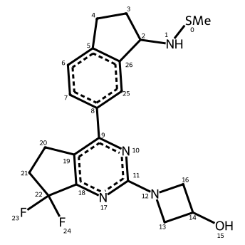 CSNC1CCc2ccc(-c3nc(N4CC(O)C4)nc4c3CCC4(F)F)cc21